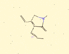 C=CC1=C(/C=C\C)C(=C)N(C)C1